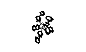 Cc1ccc(-c2ccccc2)cc1N1c2cc3ccccc3cc2Bc2c(-c3c(Nc4ccc(-c5ccccc5)cc4)ccc4ccccc34)cc(-c3ccccc3)cc21